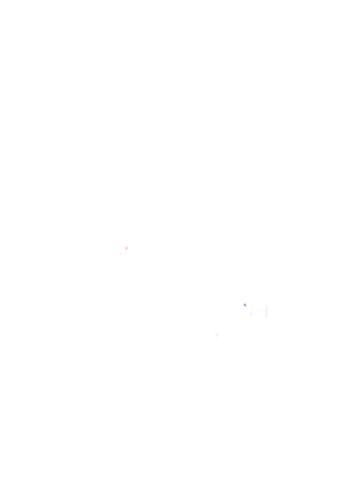 CCC(C)(C)OC1CC(C)(C)NC(C)(C)C1